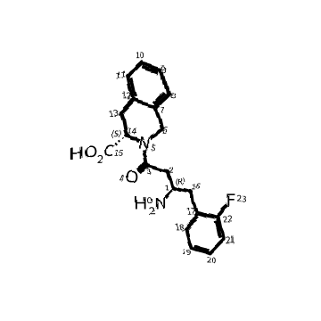 N[C@@H](CC(=O)N1Cc2ccccc2C[C@H]1C(=O)O)CC1CC=CC=C1F